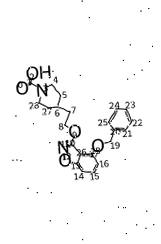 O=C(O)N1CCC(CCOc2noc3cccc(OCc4ccccc4)c23)CC1